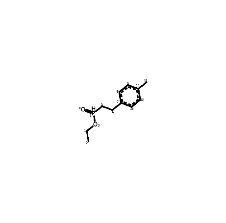 CCO[PH](=O)CCc1ccc(C)cc1